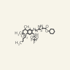 CCCCN1c2cc(NS(=O)(=O)C(F)(F)F)c(N=Nc3nnc(C(=O)OC4CCCCC4)s3)cc2C(C)CC1(C)C